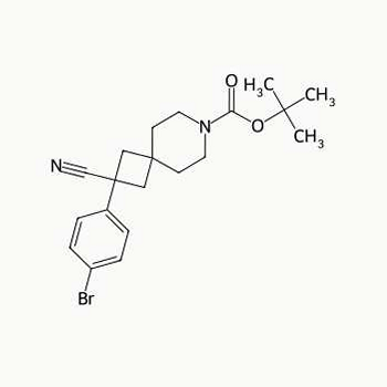 CC(C)(C)OC(=O)N1CCC2(CC1)CC(C#N)(c1ccc(Br)cc1)C2